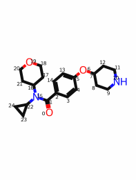 O=C(c1ccc(OC2CCNCC2)cc1)N(C1CCOCC1)C1CC1